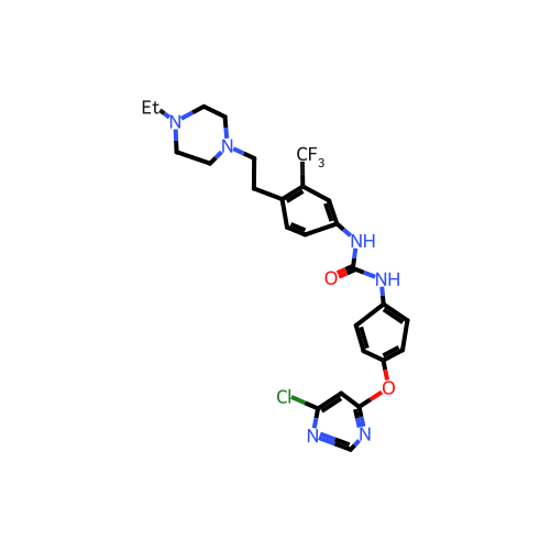 CCN1CCN(CCc2ccc(NC(=O)Nc3ccc(Oc4cc(Cl)ncn4)cc3)cc2C(F)(F)F)CC1